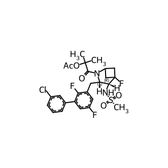 CC(=O)OC(C)(C)C(=O)N1C2CC(F)(C2)[C@H](NS(C)(=O)=O)[C@@H]1Cc1cc(F)cc(-c2cccc(Cl)c2)c1F